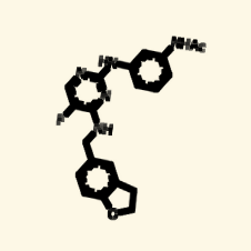 CC(=O)Nc1cccc(Nc2ncc(F)c(NCc3ccc4c(c3)CCO4)n2)c1